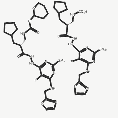 CSc1nc(NCc2nccs2)c(F)c(NNC(=O)[C@@H](CNC(=O)O)CC2CCCC2)n1.CSc1nc(NCc2nccs2)c(F)c(NNC(=O)[C@@H](CNC(=O)OC2CCCCO2)CC2CCCC2)n1